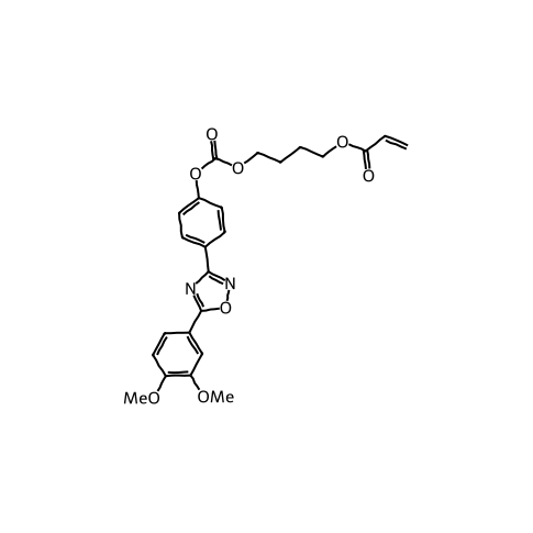 C=CC(=O)OCCCCOC(=O)Oc1ccc(-c2noc(-c3ccc(OC)c(OC)c3)n2)cc1